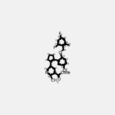 COC(=O)c1cc(C2=C(c3cc(C(F)(F)F)ccc3OCc3c(F)cc(F)cc3F)CCC2)cnc1C